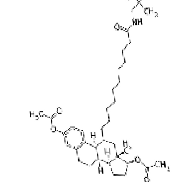 CC(=O)Oc1ccc2c(c1)CC[C@@H]1[C@@H]2[C@@H](CCCCCCCCCCC(=O)NCC(C)(C)Cl)C[C@]2(C)[C@@H](OC(C)=O)CC[C@@H]12